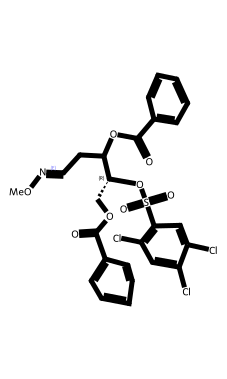 CO/N=C/CC(OC(=O)c1ccccc1)[C@@H](COC(=O)c1ccccc1)OS(=O)(=O)c1cc(Cl)c(Cl)cc1Cl